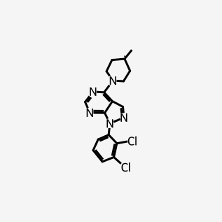 C[C]1CCN(c2ncnc3c2cnn3-c2cccc(Cl)c2Cl)CC1